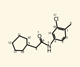 Cc1ccc(NC(=O)CC2CCCCC2)cc1Cl